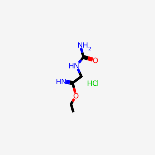 CCOC(=N)CNC(N)=O.Cl